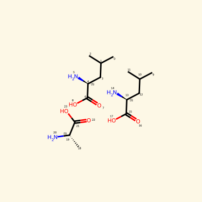 CC(C)C[C@H](N)C(=O)O.CC(C)C[C@H](N)C(=O)O.C[C@H](N)C(=O)O